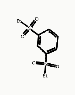 CCS(=O)(=O)c1cccc(S(=O)(=O)CC)c1